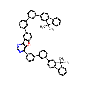 CC1(C)c2ccccc2-c2ccc(-c3cccc(-c4cccc(-c5ccc6oc7c(-c8cccc(-c9cccc(-c%10ccc%11c(c%10)C(C)(C)c%10ccccc%10-%11)c9)c8)ncnc7c6c5)c4)c3)cc21